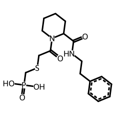 O=C(NCCc1ccccc1)C1CCCCN1C(=O)CSCP(=O)(O)O